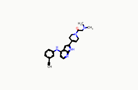 C#Cc1cccc(Nc2ccnc3[nH]c(C4=CCN(C(=O)CN(C)C)CC4)cc23)c1